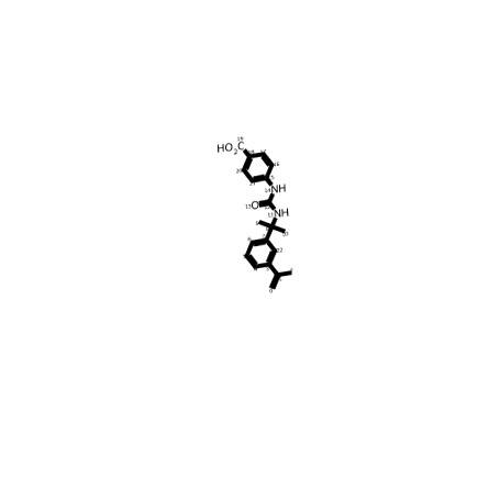 C=C(C)c1cccc(C(C)(C)NC(=O)Nc2ccc(C(=O)O)cc2)c1